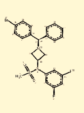 CS(=O)(=O)N(c1cc(F)cc(F)c1)C1CN([C@H](c2ccccc2)c2ccc(Br)cc2)C1